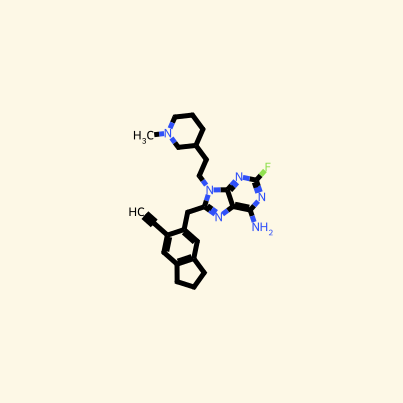 C#Cc1cc2c(cc1Cc1nc3c(N)nc(F)nc3n1CCC1CCCN(C)C1)CCC2